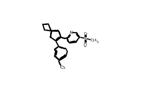 CS(=O)(=O)c1ccc(C2=C(c3ccc(Cl)cc3)CC3(CCC3)C2)nc1